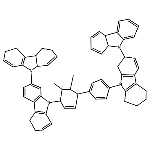 CC1C(c2ccc(-n3c4c(c5c3CCCC5)C=CC(N3c5ccccc5C5C=CC=CC53)C4)cc2)C=CC(n2c3c(c4ccc(N5C6=C(CCC=C6)C6CCC=CC65)cc42)CCC=C3)C1C